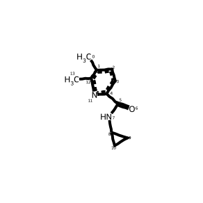 Cc1ccc(C(=O)NC2CC2)nc1C